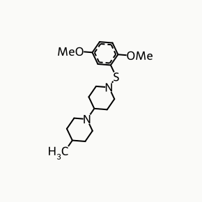 COc1ccc(OC)c(SN2CCC(N3CCC(C)CC3)CC2)c1